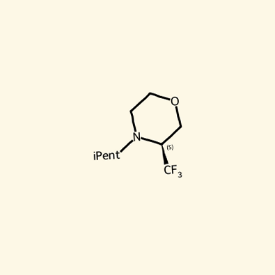 CCCC(C)N1CCOC[C@H]1C(F)(F)F